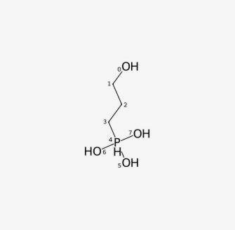 OCCC[PH](O)(O)O